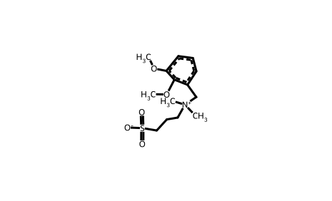 COc1cccc(C[N+](C)(C)CCCS(=O)(=O)[O-])c1OC